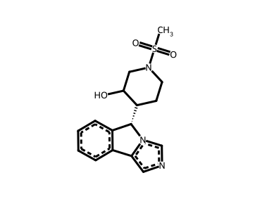 CS(=O)(=O)N1CCC([C@H]2c3ccccc3-c3cncn32)C(O)C1